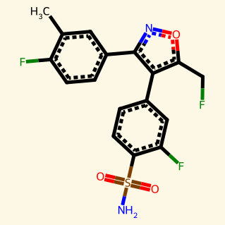 Cc1cc(-c2noc(CF)c2-c2ccc(S(N)(=O)=O)c(F)c2)ccc1F